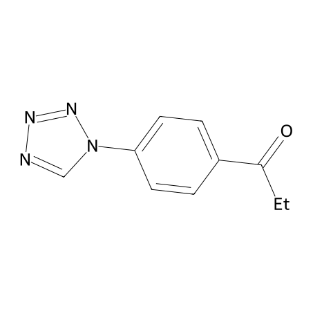 CCC(=O)c1ccc(-n2cnnn2)cc1